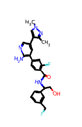 Cc1nn(C)cc1-c1cnc(N)c(-c2ccc(C(=O)NC(CO)c3cccc(CF)c3)c(F)c2)c1